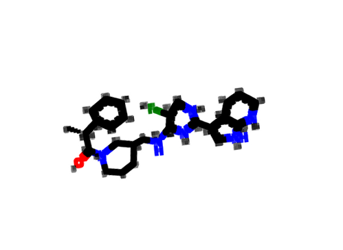 C[C@@H](C(=O)N1CCCC(CNc2nc(-c3c[nH]c4ncccc34)ncc2F)C1)c1ccccc1